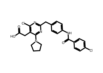 O=C(O)Cc1c(Cl)nc(Cc2ccc(NC(=O)c3ccc(Cl)cc3)cc2)nc1N1CCCC1